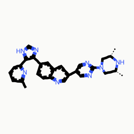 Cc1cccc(-c2[nH]cnc2-c2ccc3ncc(-c4cnc(N5C[C@@H](C)N[C@@H](C)C5)nc4)cc3c2)n1